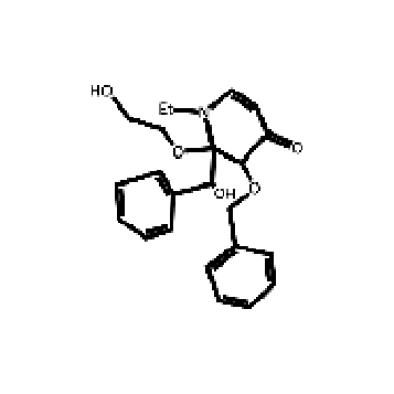 CCN1C=CC(=O)C(OCc2ccccc2)C1(OCCO)C(O)c1ccccc1